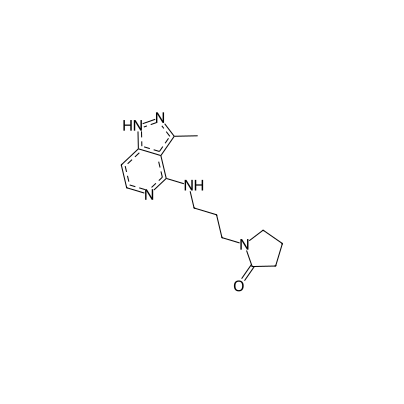 Cc1n[nH]c2ccnc(NCCCN3CCCC3=O)c12